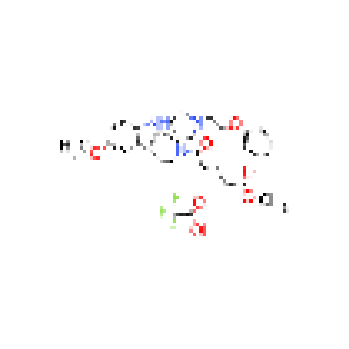 COC(=O)CCCC(=O)N1CCc2c([nH]c3ccc(OC)cc23)C12CCN(CCOc1ccccc1)C2.O=C(O)C(F)(F)F